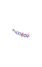 CC(=O)N(C)c1ccc(S(=O)(=O)N2CCC3(CCN(CCC(C)(C)C)CC3)CC2)cn1